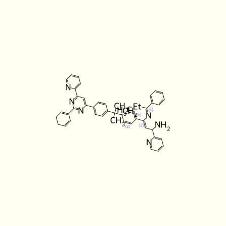 C=C(\C=C/C(=C\C)C(=C/C(N)c1ccccn1)/N=C(\CC)c1ccccc1)C(C)(C)c1ccc(-c2cc(-c3ccccn3)nc(C3=CCCC=C3)n2)cc1